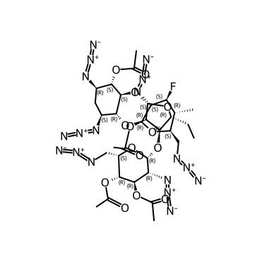 CC[C@H]1O[C@@H](O[C@@H]2[C@@H](OC(C)=O)[C@H](N=[N+]=[N-])C[C@H](N=[N+]=[N-])[C@H]2O[C@H]2O[C@H](CN=[N+]=[N-])[C@@H](C)[C@H](F)[C@H]2N=[N+]=[N-])[C@H](OC(C)=O)[C@@H]1O[C@H]1O[C@@H](CN=[N+]=[N-])[C@@H](OC(C)=O)[C@H](OC(C)=O)[C@H]1N=[N+]=[N-]